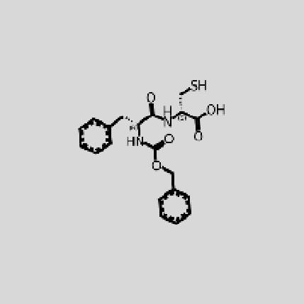 O=C(N[C@H](Cc1ccccc1)C(=O)N[C@H](CS)C(=O)O)OCc1ccccc1